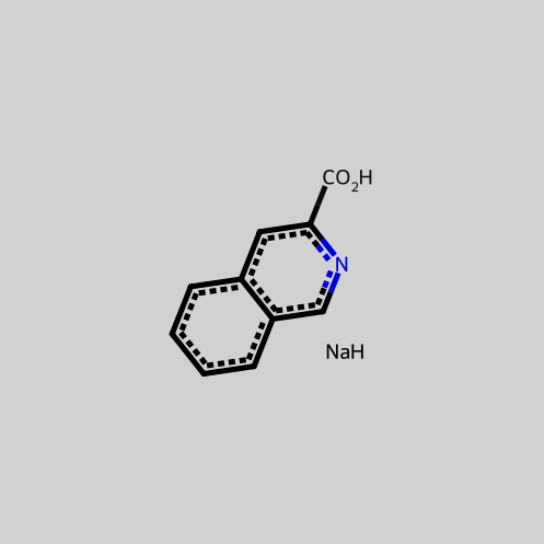 O=C(O)c1cc2ccccc2cn1.[NaH]